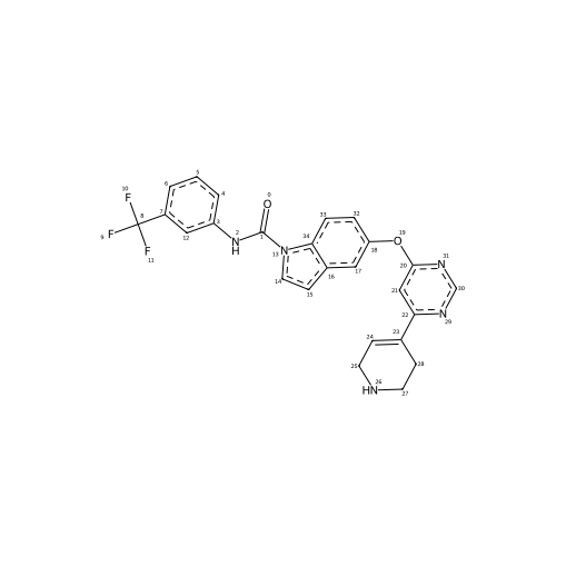 O=C(Nc1cccc(C(F)(F)F)c1)n1ccc2cc(Oc3cc(C4=CCNCC4)ncn3)ccc21